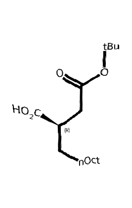 CCCCCCCCC[C@H](CC(=O)OC(C)(C)C)C(=O)O